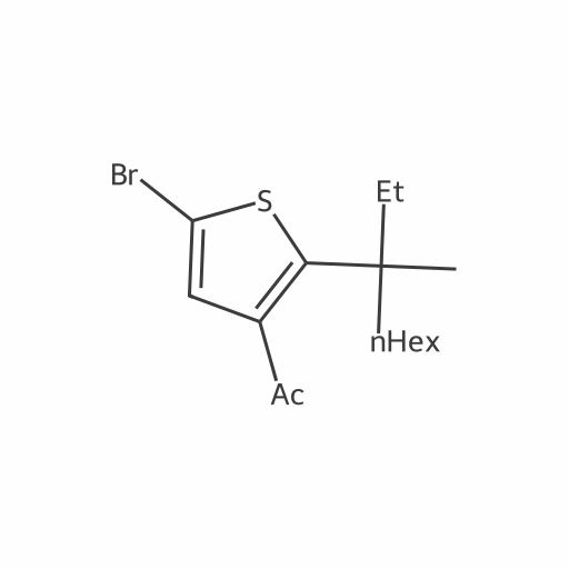 CCCCCCC(C)(CC)c1sc(Br)cc1C(C)=O